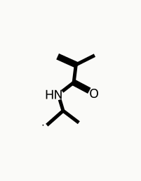 [CH2]C(C)NC(=O)C(=C)C